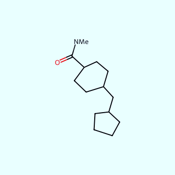 CNC(=O)C1CCC(CC2CCCC2)CC1